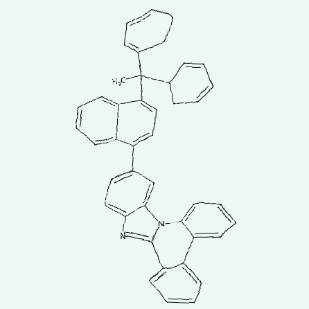 CC(C1=CC=CCC1)(c1ccc(-c2ccc3nc4c5ccccc5c5ccccc5n4c3c2)c2ccccc12)C1C=CC=CC1